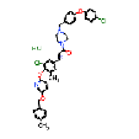 Cc1ccc(COc2ccc(Oc3c(C)cc(/C=C/C(=O)N4CCN(Cc5ccc(Oc6ccc(Cl)cc6)cc5)CC4)cc3Cl)nc2)cc1.Cl